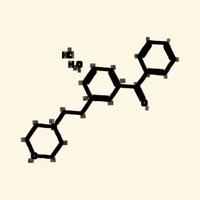 Cl.O.O=C(c1ccccc1)c1cccc(CCN2CCOCC2)c1